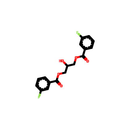 O=C(OCC(O)COC(=O)c1cccc(F)c1)c1cccc(F)c1